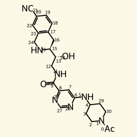 CC(=O)N1CCC(Nc2cc(C(=O)NC[C@@H](O)[C@@H]3Cc4ccc(C#N)cc4CN3)ncn2)CC1